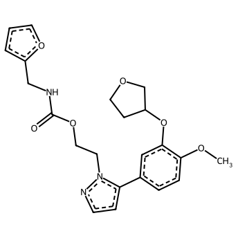 COc1ccc(-c2ccnn2CCOC(=O)NCc2ccco2)cc1OC1CCOC1